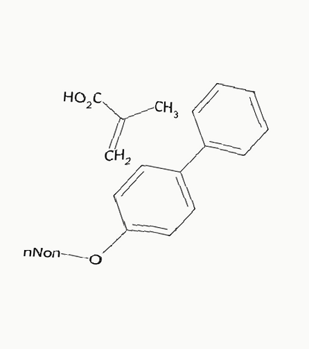 C=C(C)C(=O)O.CCCCCCCCCOc1ccc(-c2ccccc2)cc1